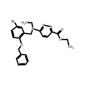 CCOC(=O)c1ccc(N(CC)Cc2cc(Br)ccc2OCc2ccccc2)nn1